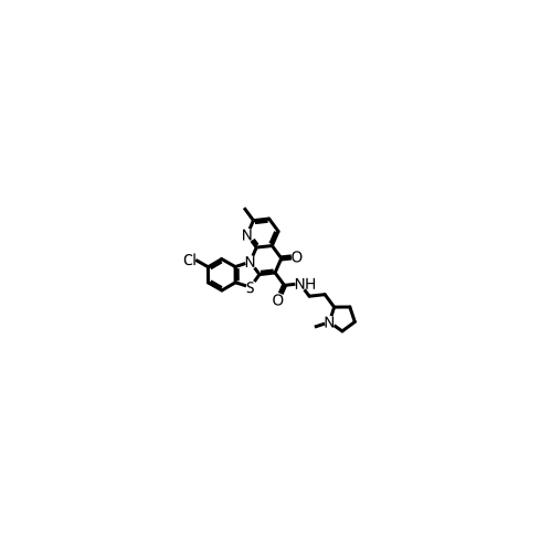 Cc1ccc2c(=O)c(C(=O)NCCC3CCCN3C)c3sc4ccc(Cl)cc4n3c2n1